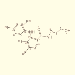 O=C(NOCCO)c1ccc(F)c(F)c1Nc1ccc(I)cc1F